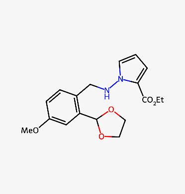 CCOC(=O)c1cccn1NCc1ccc(OC)cc1C1OCCO1